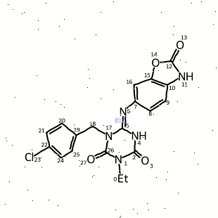 CCn1c(=O)[nH]/c(=N\c2ccc3[nH]c(=O)oc3c2)n(Cc2ccc(Cl)cc2)c1=O